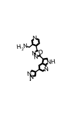 Cn1cc(-c2cnc3[nH]cc(-c4nnc(-c5ccncc5CN)o4)c3c2)cn1